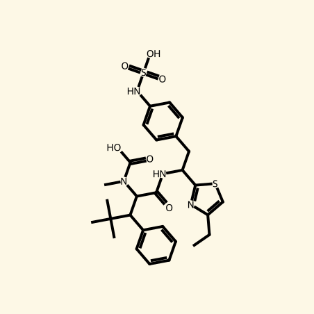 CCc1csc(C(Cc2ccc(NS(=O)(=O)O)cc2)NC(=O)C(C(c2ccccc2)C(C)(C)C)N(C)C(=O)O)n1